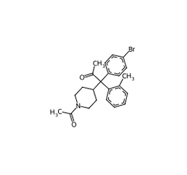 CC(=O)N1CCC(C(C(C)=O)(c2ccc(Br)cc2)c2ccccc2C)CC1